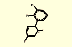 CC(C)c1cccc(C2C=CC(F)=C[C@@H]2I)c1C(C)C